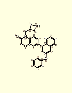 O=C1COc2cc(-c3cc(Oc4ccccc4)cc4ccccc34)ccc2N1CC1CNC1